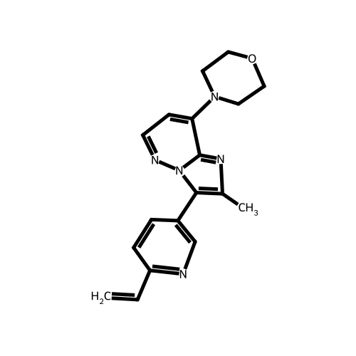 C=Cc1ccc(-c2c(C)nc3c(N4CCOCC4)ccnn23)cn1